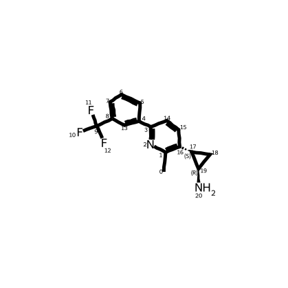 Cc1nc(-c2cccc(C(F)(F)F)c2)ccc1[C@@H]1C[C@H]1N